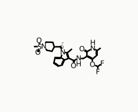 Cc1cc(OC(F)F)c(CNC(=O)c2c(C)n([C@@H](C)C3CCN(S(C)(=O)=O)CC3)c3ccccc23)c(=O)[nH]1